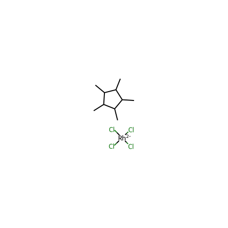 CC1C(C)C(C)C(C)C1C.[Cl][Rh-2]([Cl])([Cl])[Cl]